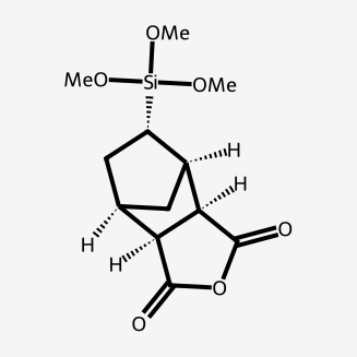 CO[Si](OC)(OC)[C@H]1C[C@H]2C[C@@H]1[C@H]1C(=O)OC(=O)[C@@H]21